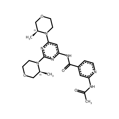 CC(=O)Nc1cc(C(=O)Nc2cc(N3CCOC[C@@H]3C)nc(N3CCOC[C@@H]3C)n2)ccn1